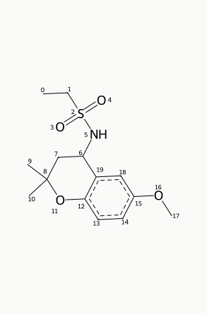 CCS(=O)(=O)NC1CC(C)(C)Oc2ccc(OC)cc21